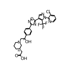 O=C(O)C[C@H]1CCCN(C[C@H](O)c2ccc(-c3noc(-c4cnn(-c5ncccc5Cl)c4C(F)(F)F)n3)cc2)C1